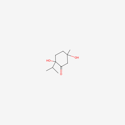 CC(C)C1(O)CCC(C)(O)CC1=O